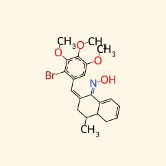 COc1cc(C=C2CC(C)C3CC=CC=C3C2=NO)c(Br)c(OC)c1OC